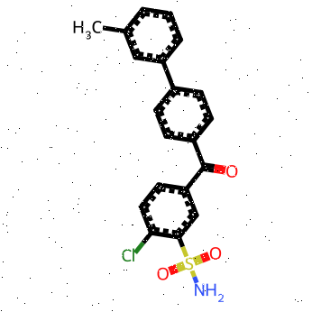 Cc1cccc(-c2ccc(C(=O)c3ccc(Cl)c(S(N)(=O)=O)c3)cc2)c1